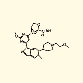 COCCN1CCC(c2cc3c(cnn3-c3cc(N4CC5(NS)CC4CO5)nc(OC)n3)cc2C)CC1